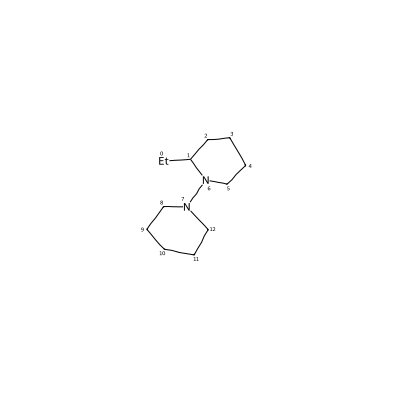 CCC1CCCCN1N1CCCCC1